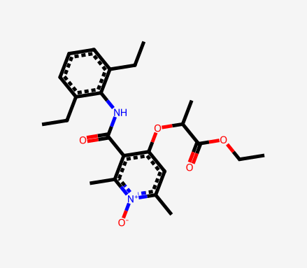 CCOC(=O)C(C)Oc1cc(C)[n+]([O-])c(C)c1C(=O)Nc1c(CC)cccc1CC